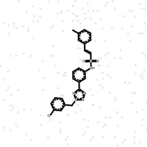 Cc1cccc(/C=C/S(=O)(=O)Nc2cccc(-c3nnn(Cc4cccc(Cl)c4)n3)c2)c1